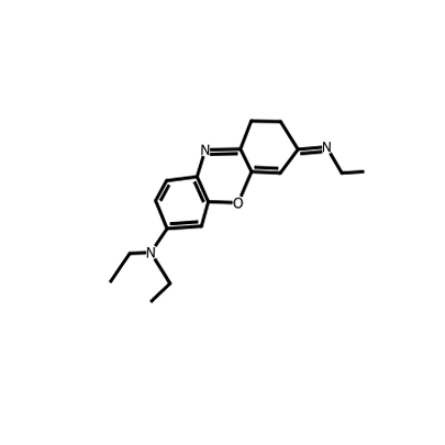 CC/N=C1\C=C2Oc3cc(N(CC)CC)ccc3N=C2CC1